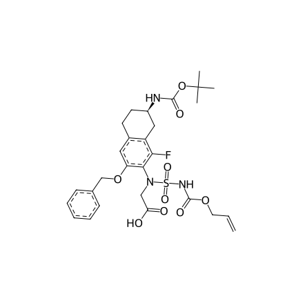 C=CCOC(=O)NS(=O)(=O)N(CC(=O)O)c1c(OCc2ccccc2)cc2c(c1F)C[C@H](NC(=O)OC(C)(C)C)CC2